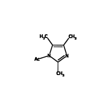 CC(=O)n1c(C)nc(C)c1C